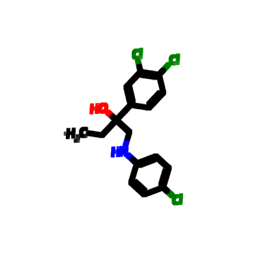 [CH2]CC(O)(CNc1ccc(Cl)cc1)c1ccc(Cl)c(Cl)c1